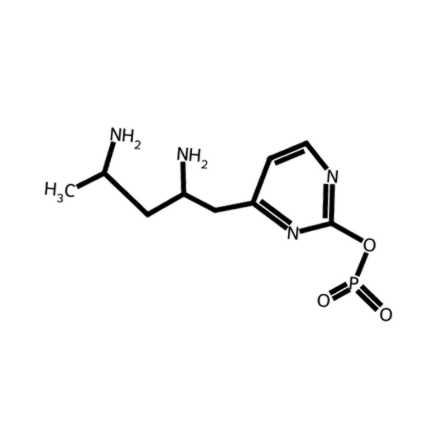 CC(N)CC(N)Cc1ccnc(OP(=O)=O)n1